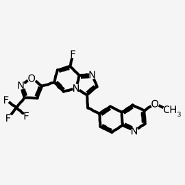 COc1cnc2ccc(Cc3cnc4c(F)cc(-c5cc(C(F)(F)F)no5)cn34)cc2c1